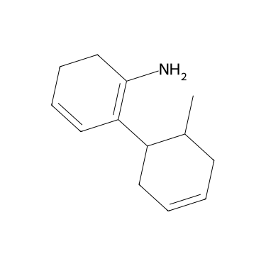 CC1CC=CCC1C1=C(N)CCC=C1